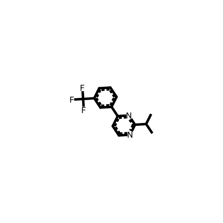 CC(C)c1nccc(-c2cccc(C(F)(F)F)c2)n1